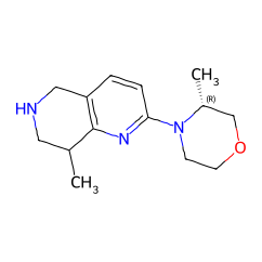 CC1CNCc2ccc(N3CCOC[C@H]3C)nc21